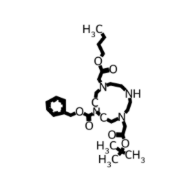 CCCCOC(=O)CN1CCNCCN(CC(=O)OC(C)(C)C)CCN(C(=O)OCc2ccccc2)CC1